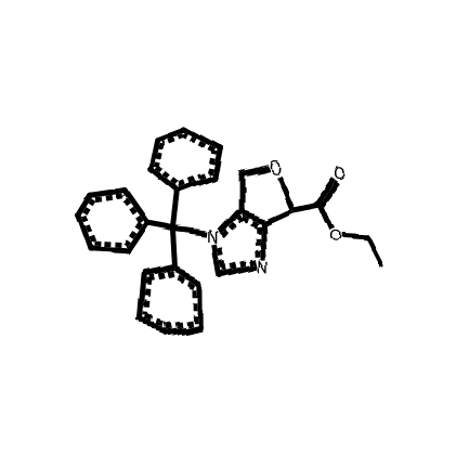 CCOC(=O)C1OCc2c1ncn2C(c1ccccc1)(c1ccccc1)c1ccccc1